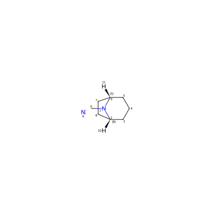 CN1[C@@H]2CCC[C@H]1CC2.[N]